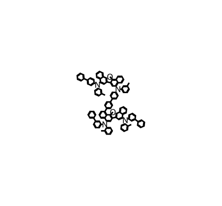 Cc1cccc(N(c2ccc(-c3ccccc3)cc2)c2cc3c4cc(N(c5ccc(-c6ccc(-c7cccc8c(N(c9cccc(-c%10ccccc%10)c9)c9ccccc9C)cc9c%10cc(N(c%11cccc(-c%12ccccc%12)c%11)c%11ccccc%11C)c%11ccccc%11c%10oc9c78)cc6)cc5)c5cccc(C)c5)c5ccccc5c4oc3c3ccccc23)c1